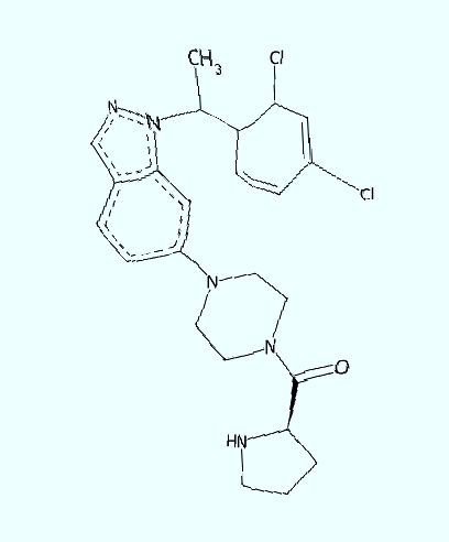 CC(C1C=CC(Cl)=CC1Cl)n1ncc2ccc(N3CCN(C(=O)[C@H]4CCCN4)CC3)cc21